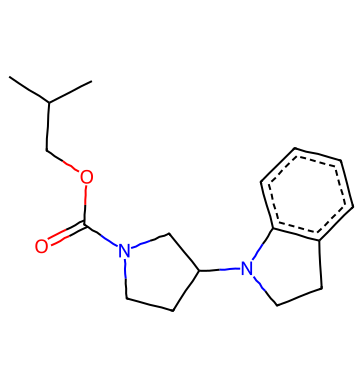 CC(C)COC(=O)N1CCC(N2CCc3ccccc32)C1